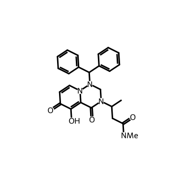 CNC(=O)CC(C)N1CN(C(c2ccccc2)c2ccccc2)n2ccc(=O)c(O)c2C1=O